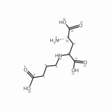 N[C@@H](CC(NCCCC(=O)O)C(=O)O)C(=O)O